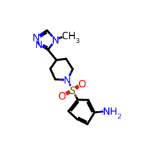 Cn1cnnc1C1CCN(S(=O)(=O)c2cccc(N)c2)CC1